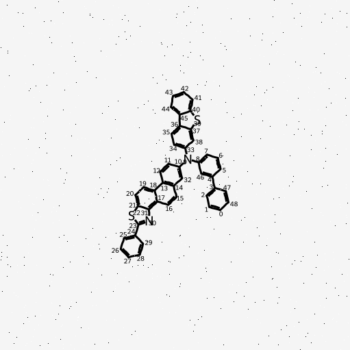 c1ccc(-c2cccc(N(c3ccc4c(ccc5c4ccc4sc(-c6ccccc6)nc45)c3)c3ccc4c(c3)sc3ccccc34)c2)cc1